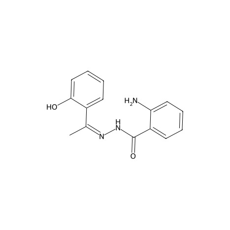 CC(=NNC(=O)c1ccccc1N)c1ccccc1O